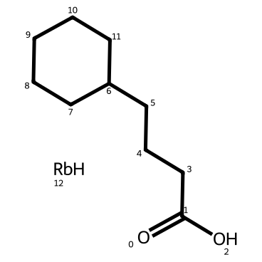 O=C(O)CCCC1CCCCC1.[RbH]